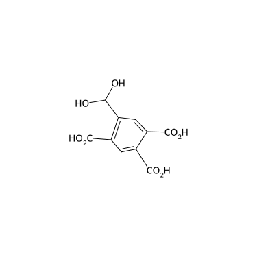 O=C(O)c1cc(C(=O)O)c(C(O)O)cc1C(=O)O